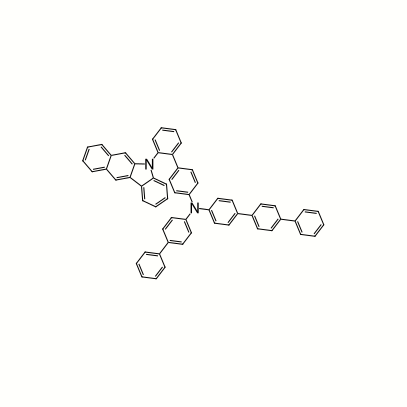 c1ccc(-c2ccc(-c3ccc(N(c4ccc(-c5ccccc5)cc4)c4ccc(-c5ccccc5-n5c6ccccc6c6cc7ccccc7cc65)cc4)cc3)cc2)cc1